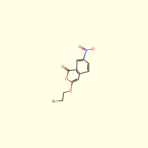 O=c1oc(OCCBr)cc2ccc([N+](=O)[O-])cc12